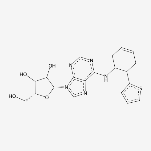 OC[C@H]1O[C@@H](n2cnc3c(NC4CC=CCC4c4cccs4)ncnc32)C(O)C1O